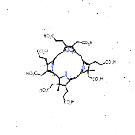 CC(=O)C12N/C(=C\C3=NC(=C(CCC(=O)O)[C@]3(C)CC(=O)O)Cc3[nH]c(c(CCC(=O)O)c3CC(=O)O)CC3=NC1=C(CC(=O)O)[C@@]3(C)CCC(=O)O)[C@@H](CCC(=O)O)[C@]2(C)CC(=O)O